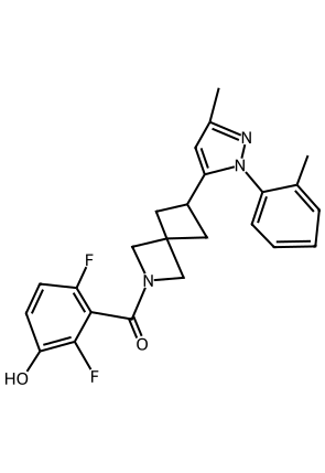 Cc1cc(C2CC3(C2)CN(C(=O)c2c(F)ccc(O)c2F)C3)n(-c2ccccc2C)n1